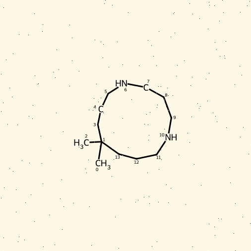 CC1(C)CCCNCCCNCCC1